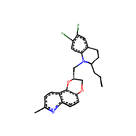 CCCC1CCc2cc(F)c(F)cc2N1C[C@H]1COc2ccc3nc(C)ccc3c2O1